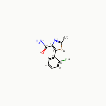 CCc1nc(C(N)=O)c(-c2ccccc2F)s1